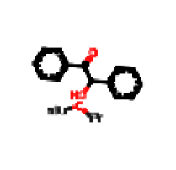 CCCCOC(C)C.O=C(c1ccccc1)C(O)c1ccccc1